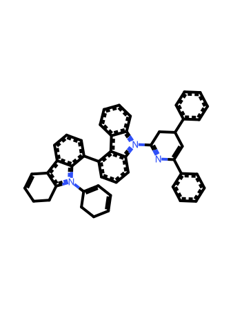 C1=CCCC(n2c3c(c4cccc(-c5cccc6c5c5ccccc5n6C5=NC(c6ccccc6)=CC(c6ccccc6)C5)c42)C=CCC3)=C1